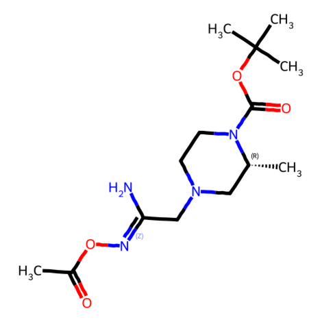 CC(=O)O/N=C(\N)CN1CCN(C(=O)OC(C)(C)C)[C@H](C)C1